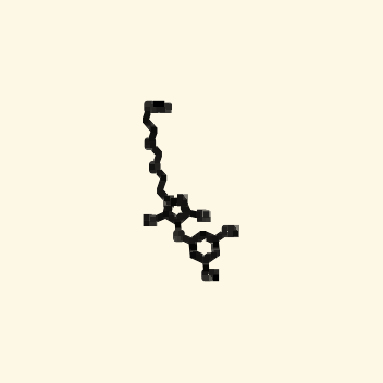 CCc1nn(CCOCOCCOC)c(CC)c1Oc1cc(C#N)cc(C#N)c1